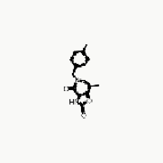 Cc1ccc(Cn2cc(C)c3oc(=O)[nH]c3c2=O)cc1